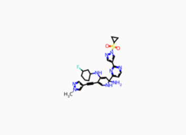 Cn1cc(C#CC2=CNC(N)(c3ccnc(-c4cnn(S(=O)(=O)C5CC5)c4)n3)C=C2NC2CCCC(F)C2)cn1